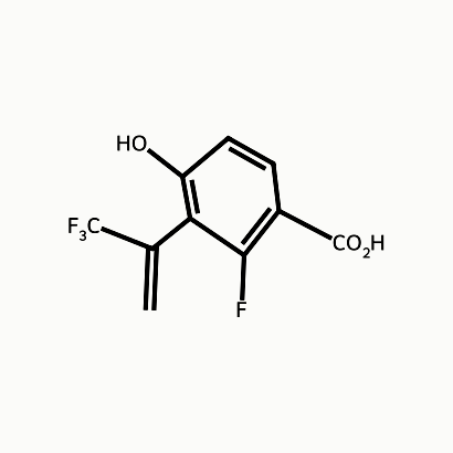 C=C(c1c(O)ccc(C(=O)O)c1F)C(F)(F)F